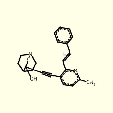 Cc1ccc(C#CC2(O)CN3CCC2CC3)c(/C=C/c2ccccc2)n1